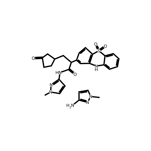 Cn1ccc(N)n1.Cn1ccc(NC(=O)C(CC2CCC(=O)C2)c2ccc3c(c2)Nc2ccccc2S3(=O)=O)n1